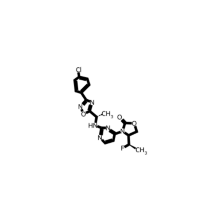 C[C@H](Nc1nccc(N2C(=O)OCC2[C@@H](C)F)n1)c1nc(-c2ccc(Cl)cc2)no1